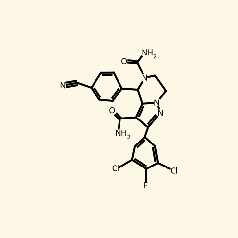 N#Cc1ccc(C2c3c(C(N)=O)c(-c4cc(Cl)c(F)c(Cl)c4)nn3CCN2C(N)=O)cc1